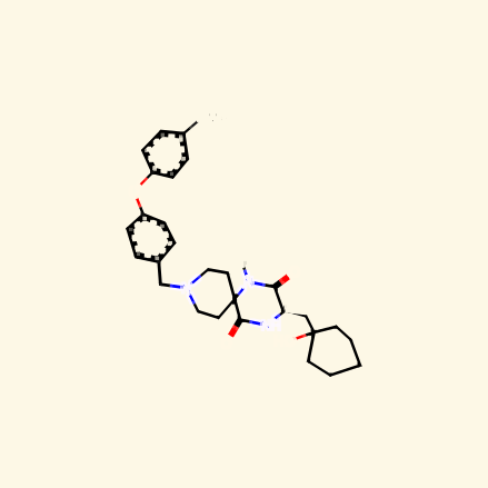 CCCCN1C(=O)[C@@H](CC2(O)CCCCC2)NC(=O)C12CCN(Cc1ccc(Oc3ccc(SC)cc3)cc1)CC2